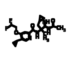 CC(=O)NC(=N)C(C)(CC1CC1)NC(=O)c1cc(OCC(F)F)c(C2CC2)cn1